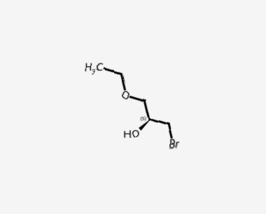 CCOC[C@H](O)CBr